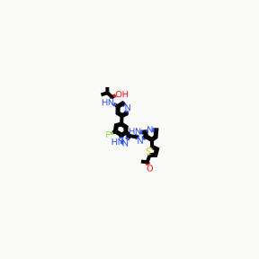 CC(=O)c1ccc(-c2ccnc3[nH]c(-c4n[nH]c5c(F)cc(-c6cncc(NC(O)C(C)C)c6)cc45)nc23)s1